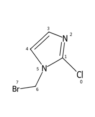 Clc1nccn1CBr